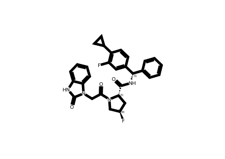 O=C(N[C@@H](c1ccccc1)c1ccc(C2CC2)c(F)c1)[C@@H]1C[C@@H](F)CN1C(=O)Cn1c(=O)[nH]c2ccccc21